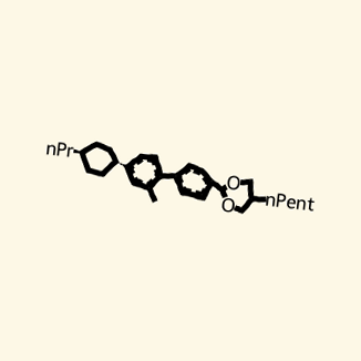 CCCCCC1COC(c2ccc(-c3ccc([C@H]4CC[C@H](CCC)CC4)cc3C)cc2)OC1